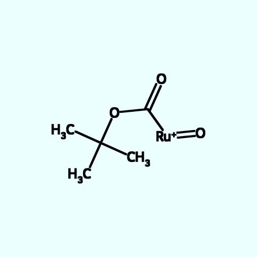 CC(C)(C)O[C](=O)[Ru+]=[O]